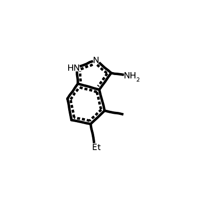 CCc1ccc2[nH]nc(N)c2c1C